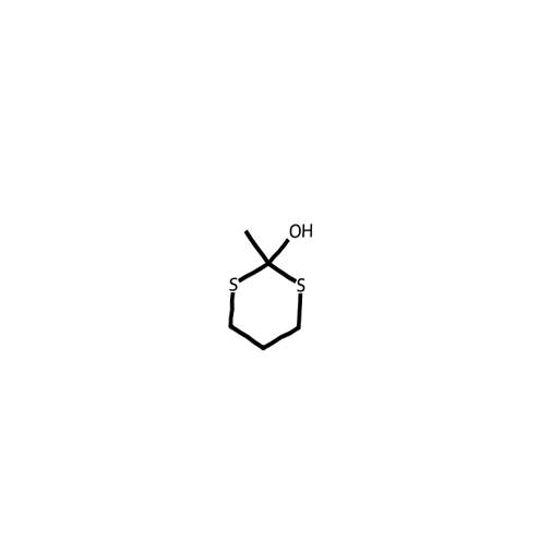 CC1(O)SCCCS1